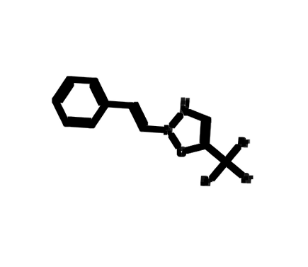 BrC(Br)(Br)C1=CNN(C=Cc2ccccc2)O1